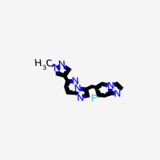 Cn1cc(-c2ccc3ncc(Cc4cn5ccnc5cc4F)n3n2)cn1